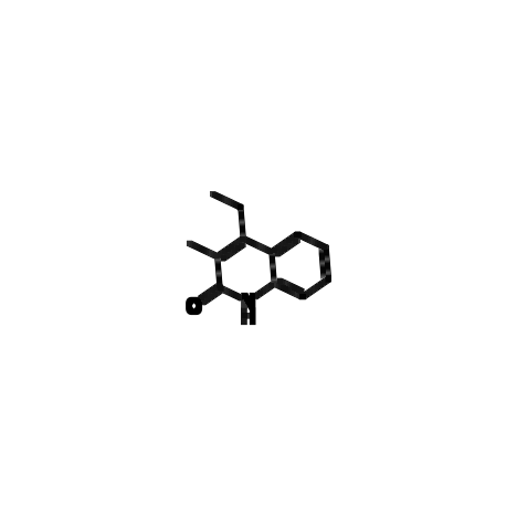 CCc1c(C)c(=O)[nH]c2ccccc12